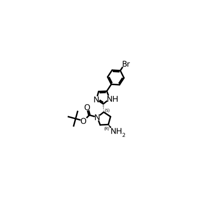 CC(C)(C)OC(=O)N1C[C@H](N)C[C@H]1c1ncc(-c2ccc(Br)cc2)[nH]1